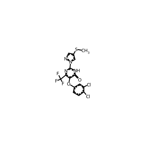 CSc1cnn(-c2nc(C(F)(F)F)c(Oc3ccc(Cl)c(Cl)c3)c(=O)[nH]2)c1